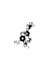 Cc1cc(F)c(N2NC(OCC(F)(F)C(F)(F)F)=CC2=C=NO)cc1SCC(F)(F)F